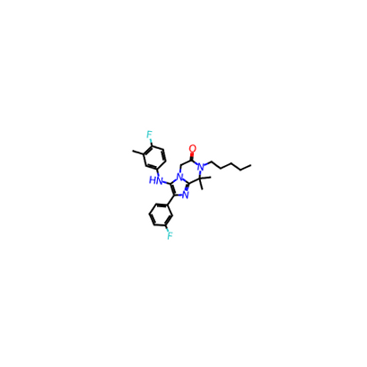 CCCCCN1C(=O)Cn2c(nc(-c3cccc(F)c3)c2Nc2ccc(F)c(C)c2)C1(C)C